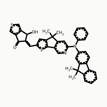 CC1(C)c2ccccc2-c2ccc(N(c3ccccc3)c3cc4c(cn3)-c3sc(/C=C5/C(=O)c6cscc6C5O)cc3C4(C)C)cc21